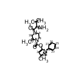 Cc1cc(OC(=O)N2CCN(C(=O)[C@@H](N)C(C)C)C[C@H]2C)n(-c2ccccc2)n1